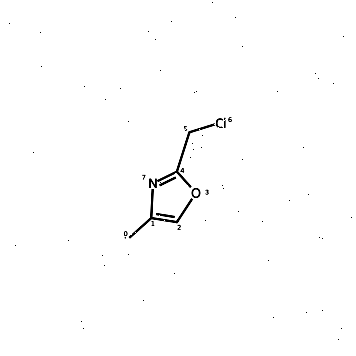 [CH2]c1coc(CCl)n1